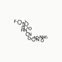 Cc1ccc(C(=O)Nc2ccc(Oc3ccc4nc(NC(=O)C5CC5)cn4c3)nc2)c(=O)n1-c1ccc(F)cc1